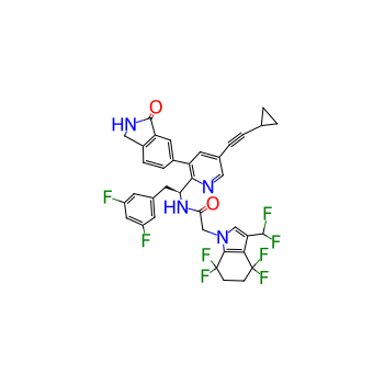 O=C(Cn1cc(C(F)F)c2c1C(F)(F)CCC2(F)F)N[C@@H](Cc1cc(F)cc(F)c1)c1ncc(C#CC2CC2)cc1-c1ccc2c(c1)C(=O)NC2